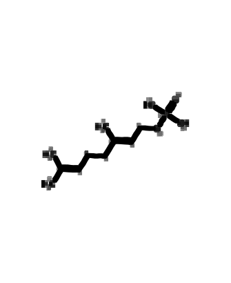 CC(C)=CCC/C(C)=C/C[O][V](=[O])([OH])[OH]